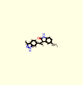 Bc1ccc2c(c1)[C@]1(CC1c1ccc3c(C)n[nH]c3c1)C(=O)N2